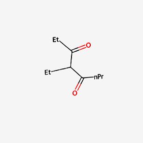 CCCC(=O)C(CC)C(=O)CC